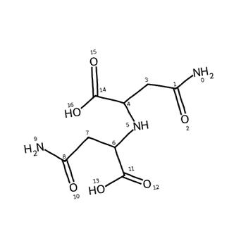 NC(=O)CC(NC(CC(N)=O)C(=O)O)C(=O)O